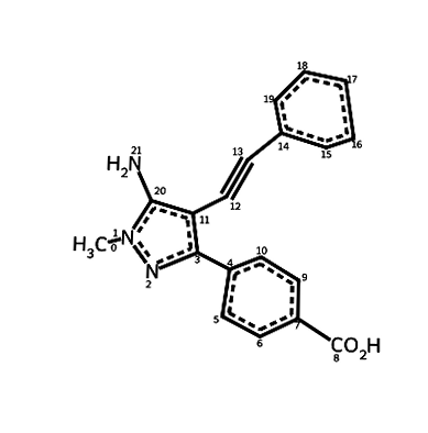 Cn1nc(-c2ccc(C(=O)O)cc2)c(C#Cc2ccccc2)c1N